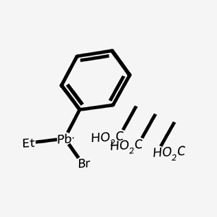 CC(=O)O.CC(=O)O.CC(=O)O.C[CH2][Pb]([Br])[c]1ccccc1